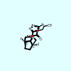 O=C(NC1[C@@H]2CC[C@H]1CN(c1nnc(Br)s1)C2)OCCCl